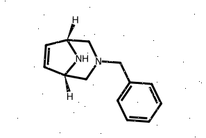 C1=C[C@H]2CN(Cc3ccccc3)C[C@@H]1N2